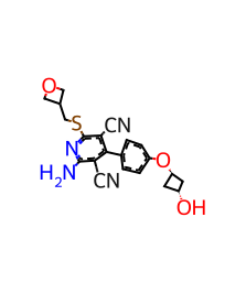 N#Cc1c(N)nc(SCC2COC2)c(C#N)c1-c1ccc(O[C@H]2C[C@@H](O)C2)cc1